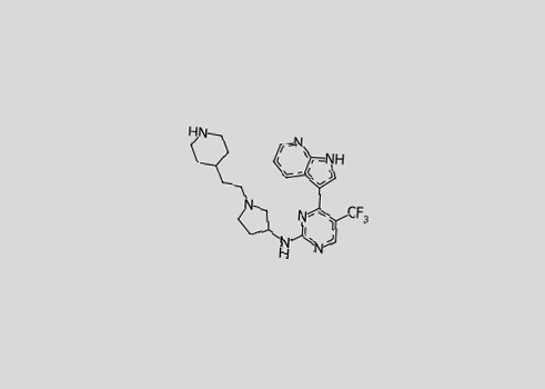 FC(F)(F)c1cnc(NC2CCN(CCC3CCNCC3)C2)nc1-c1c[nH]c2ncccc12